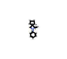 C=C1N(c2ccccc2)CC12CCCC2